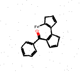 O=C(C1=C(C2=[C]([Fe])CC=C2)CC=C1)c1ccccc1